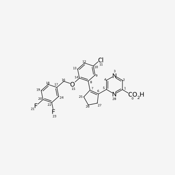 O=C(O)c1cncc(C2=C(c3cc(Cl)ccc3OCc3ccc(F)c(F)c3)CCC2)n1